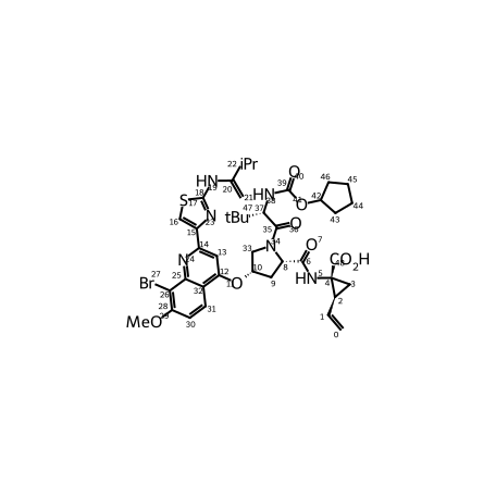 C=C[C@@H]1C[C@]1(NC(=O)[C@@H]1C[C@H](Oc2cc(-c3csc(NC(=C)C(C)C)n3)nc3c(Br)c(OC)ccc23)CN1C(=O)[C@@H](NC(=O)OC1CCCC1)C(C)(C)C)C(=O)O